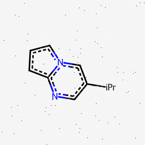 CC(C)c1cnc2cccn2c1